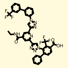 CCNC(=O)c1cc(-c2cn(-c3cccc(-c4cccc(C(F)(F)F)c4)c3)nn2)nc(-c2cn(-c3c(-c4ccccc4)ccc(C(=O)O)c3C(F)(F)F)nn2)c1